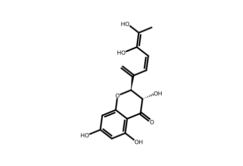 C=C(/C=C\C(O)=C(/C)O)[C@@H]1Oc2cc(O)cc(O)c2C(=O)[C@H]1O